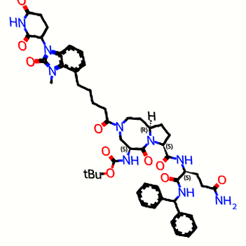 Cn1c(=O)n(C2CCC(=O)NC2=O)c2cccc(CCCCC(=O)N3CC[C@H]4CC[C@@H](C(=O)N[C@@H](CCC(N)=O)C(=O)NC(c5ccccc5)c5ccccc5)N4C(=O)[C@@H](NC(=O)OC(C)(C)C)C3)c21